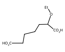 CCOC(CCCCC(=O)O)C(=O)O